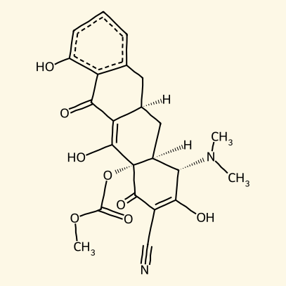 COC(=O)O[C@@]12C(=O)C(C#N)=C(O)[C@@H](N(C)C)[C@@H]1C[C@@H]1Cc3cccc(O)c3C(=O)C1=C2O